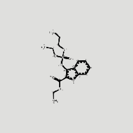 CCCSP(=O)(OCC)Oc1c(C(=O)OCC)sc2ccccc12